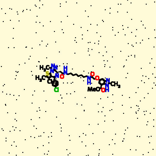 COC(=O)c1cc(OCC(=O)NCCCCCCCCNC(=O)C[C@@H]2N=C(c3ccc(Cl)cc3)c3c(sc(C)c3C)-n3c(C)nnc32)cc2nc(C)[nH]c12